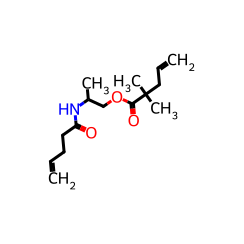 C=CCCC(=O)NC(C)COC(=O)C(C)(C)CC=C